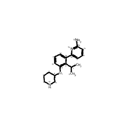 CC(C)c1c(OC2CCCNC2)cccc1-c1cccc(N)n1